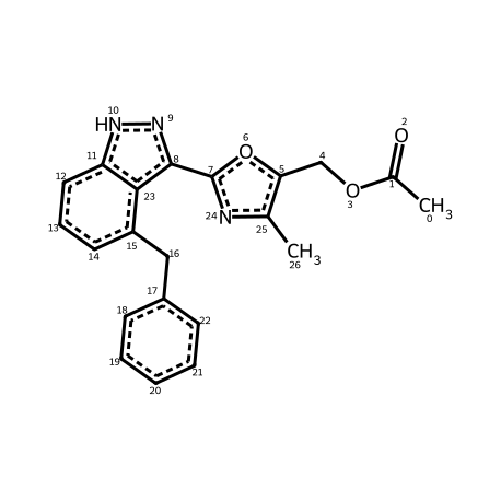 CC(=O)OCc1oc(-c2n[nH]c3cccc(Cc4ccccc4)c23)nc1C